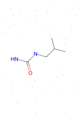 CC(C)C[N]C([NH])=O